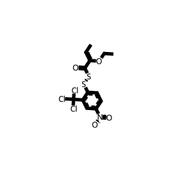 CC=C(OCC)C(=O)SSc1ccc([N+](=O)[O-])cc1C(Cl)(Cl)Cl